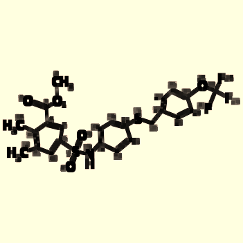 COC(=O)c1cc(S(=O)(=O)Nc2ccc(SCc3ccc(OC(F)(F)F)cc3)cc2)cc(C)c1C